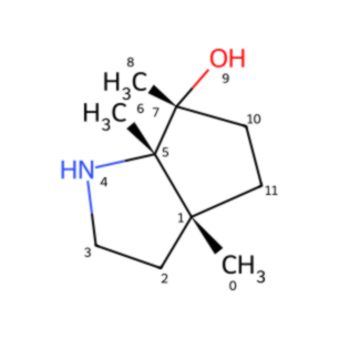 C[C@@]12CCN[C@]1(C)[C@](C)(O)CC2